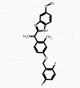 CCOc1ccc2[nH]c(C(C)c3ccc(OCc4cc(F)ccc4F)cc3C)nc2c1